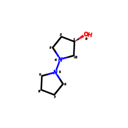 O[C@H]1CCN(N2CCCC2)C1